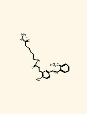 NNC(=O)CCCCCNC(=O)CCc1cc(N=Nc2ccccc2C(=O)O)ccc1O